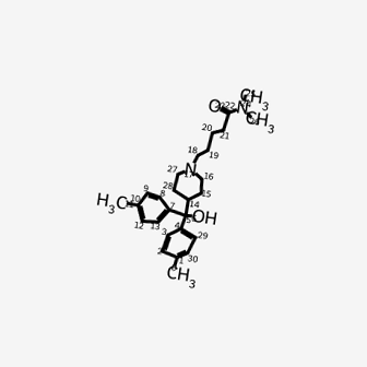 Cc1ccc(C(O)(c2ccc(C)cc2)C2CCN(CCCCC(=O)N(C)C)CC2)cc1